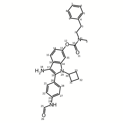 CN(CCc1ccccc1)C(=O)Oc1ccc2c(N)c(-c3ccc(NC=O)cc3)n(C3CCC3)c2c1